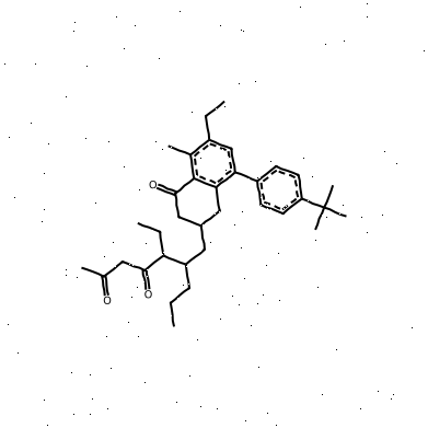 CCCC(CC1CC(=O)c2c(C)c(CC)cc(-c3ccc(C(C)(C)C)cc3)c2C1)C(CC)C(=O)CC(C)=O